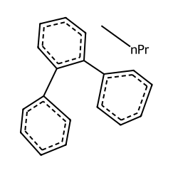 CCCC.c1ccc(-c2ccccc2-c2ccccc2)cc1